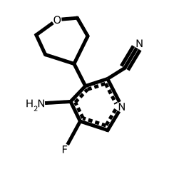 N#Cc1ncc(F)c(N)c1C1CCOCC1